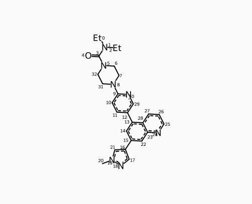 CCN(CC)C(=O)N1CCN(c2ccc(-c3cc(-c4cnn(C)c4)cc4ncccc34)cn2)CC1